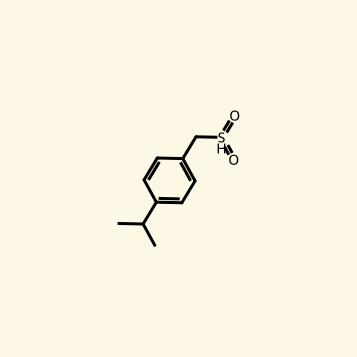 CC(C)c1ccc(C[SH](=O)=O)cc1